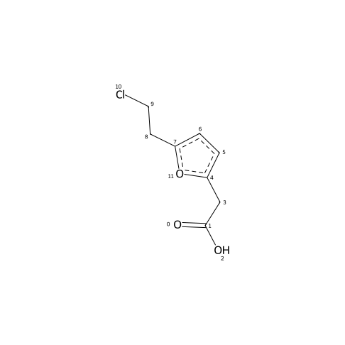 O=C(O)Cc1ccc(CCCl)o1